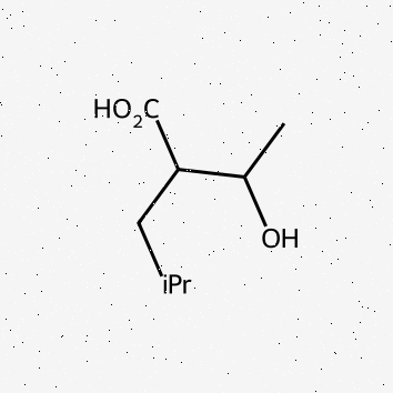 CC(C)CC(C(=O)O)C(C)O